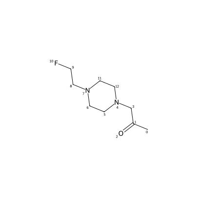 CC(=O)CN1CCN(CCF)CC1